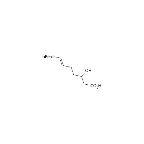 CCCCCC=CCCC(O)CC(=O)O